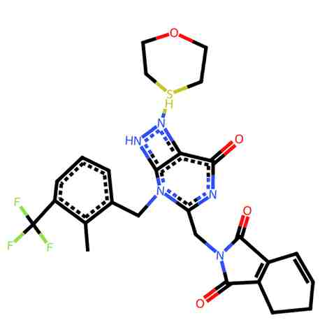 Cc1c(Cn2c(CN3C(=O)C4=C(CCC=C4)C3=O)nc(=O)c3c2[nH]n3[SH]2CCOCC2)cccc1C(F)(F)F